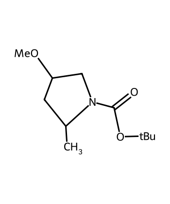 COC1CC(C)N(C(=O)OC(C)(C)C)C1